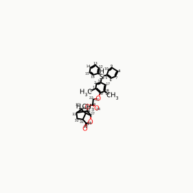 Cc1cc([SiH](c2ccccc2)c2ccccc2)cc(C)c1OCC(=O)OC1C2OC(=O)C3CC1[C@H](C)C32